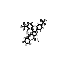 Nc1sc(-c2ccc(C(F)(F)F)cc2)c(-c2cccc(C(F)(F)F)c2)c1C(=O)c1ccccc1